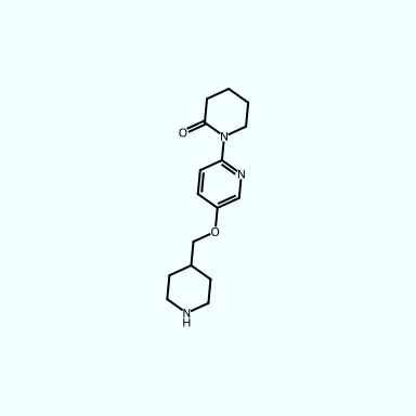 O=C1CCCCN1c1ccc(OCC2CCNCC2)cn1